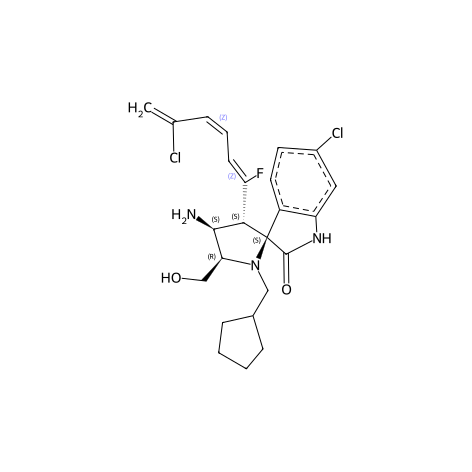 C=C(Cl)/C=C\C=C(/F)[C@H]1[C@H](N)[C@H](CO)N(CC2CCCC2)[C@@]12C(=O)Nc1cc(Cl)ccc12